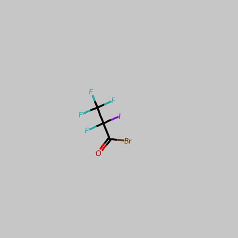 O=C(Br)C(F)(I)C(F)(F)F